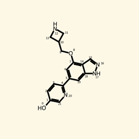 Oc1ccc(-c2cc(OCC3CNC3)c3cn[nH]c3c2)nc1